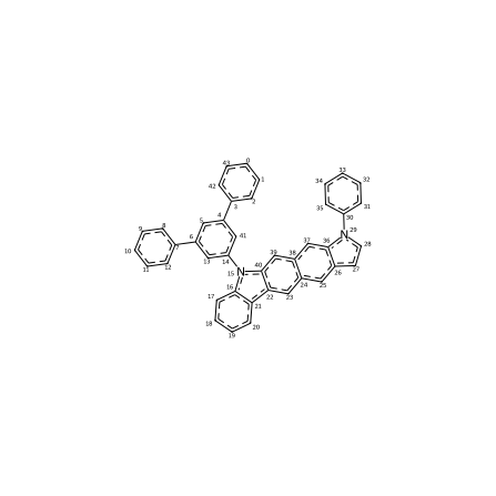 c1ccc(-c2cc(-c3ccccc3)cc(-n3c4ccccc4c4cc5cc6ccn(-c7ccccc7)c6cc5cc43)c2)cc1